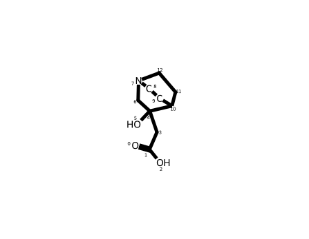 O=C(O)CC1(O)CN2CCC1CC2